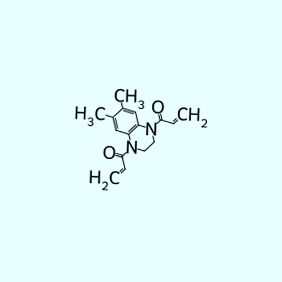 C=CC(=O)N1CCN(C(=O)C=C)c2cc(C)c(C)cc21